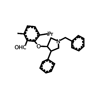 Cc1ccc(C(C)C)c(OC2CN(Cc3ccccc3)CC2c2ccccc2)c1C=O